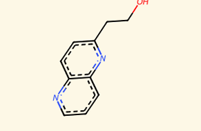 OCCc1ccc2ncccc2n1